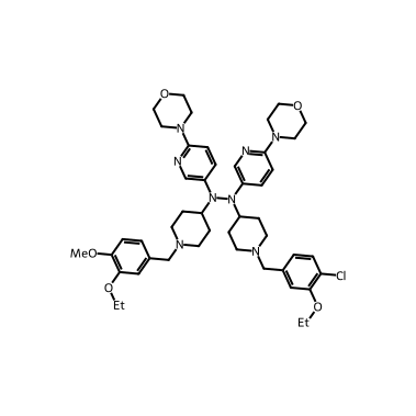 CCOc1cc(CN2CCC(N(c3ccc(N4CCOCC4)nc3)N(c3ccc(N4CCOCC4)nc3)C3CCN(Cc4ccc(OC)c(OCC)c4)CC3)CC2)ccc1Cl